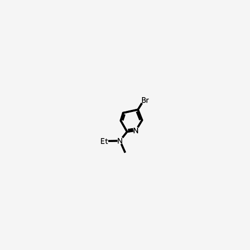 CCN(C)c1ccc(Br)cn1